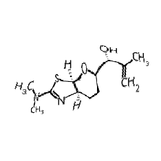 C=C(C)[C@@H](O)[C@H]1CC[C@H]2N=C(N(C)C)S[C@H]2O1